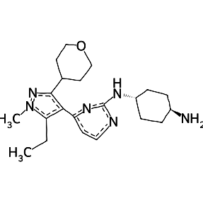 CCc1c(-c2ccnc(N[C@H]3CC[C@H](N)CC3)n2)c(C2CCOCC2)nn1C